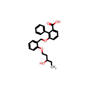 CCC(O)CCOc1ccccc1COc1cccc(C(=O)O)c1-c1ccccc1